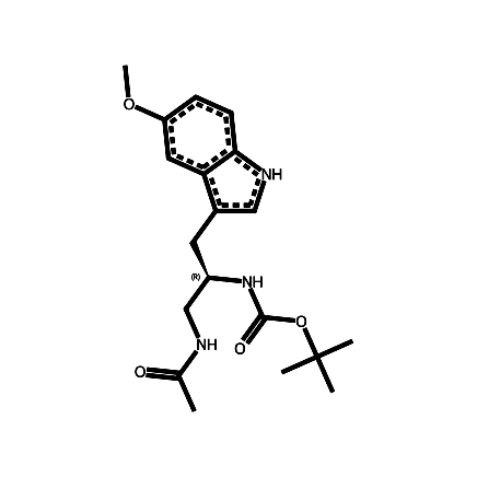 COc1ccc2[nH]cc(C[C@H](CNC(C)=O)NC(=O)OC(C)(C)C)c2c1